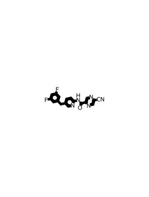 N#Cc1cnc(C(=O)Nc2ccc(Cc3cc(F)cc(F)c3)cn2)cn1